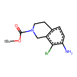 CC(C)(C)OC(=O)N1CCc2ccc(N)c(Br)c2C1